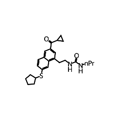 CCCNC(=O)NCCc1cc(C(=O)C2CC2)cc2ccc(SC3CCCC3)cc12